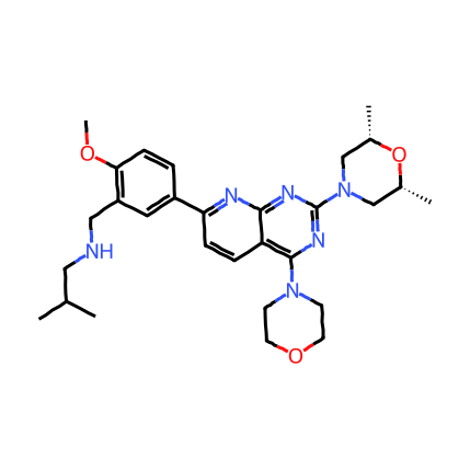 COc1ccc(-c2ccc3c(N4CCOCC4)nc(N4C[C@@H](C)O[C@@H](C)C4)nc3n2)cc1CNCC(C)C